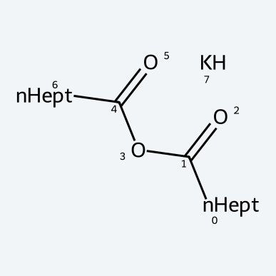 CCCCCCCC(=O)OC(=O)CCCCCCC.[KH]